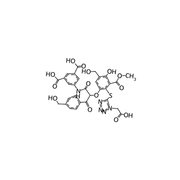 COC(=O)c1c(O)c(CO)cc(OC(C(=O)Nc2cc(C(=O)O)cc(C(=O)O)c2)C(=O)c2ccc(CO)cc2)c1Sc1nnnn1CC(=O)O